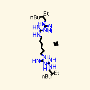 C=C.C=C.CCCCC(CC)CNC(=N)NC(=N)NCCCCCCNC(=N)NC(=N)NCC(CC)CCCC